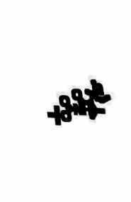 CC[N+](C)(OC)C(C(=O)NC(=O)OC(C)(C)C)C(C)C